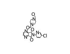 O=CN1CCN(C(=O)OC2c3nccnc3C(=O)N2c2ccc(Cl)cn2)CC1